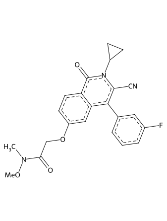 CON(C)C(=O)COc1ccc2c(=O)n(C3CC3)c(C#N)c(-c3cccc(F)c3)c2c1